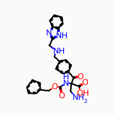 NCC(NC(=O)OCc1ccccc1)(C(=O)O)C(=O)c1ccc(CNCc2nc3ccccc3[nH]2)cc1